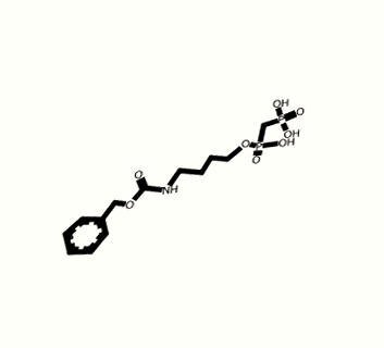 O=C(NCCCCOP(=O)(O)CP(=O)(O)O)OCc1ccccc1